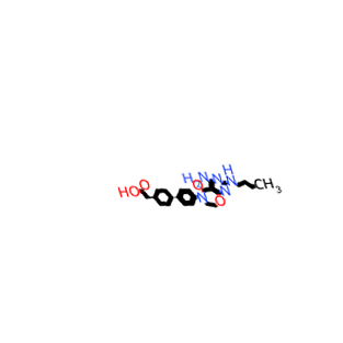 CCCCNc1nc(N)c2c(n1)OCCN(c1ccc([C@H]3CC[C@H](CC(=O)O)CC3)cc1)C2=O